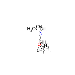 CCC(C)(CC)O[SiH2]CCCN=C(C)CC(C)C